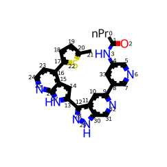 CCCC(=O)Nc1cncc(-c2cc3c(-c4cc5c(-c6ccc(C)s6)ccnc5[nH]4)n[nH]c3cn2)c1